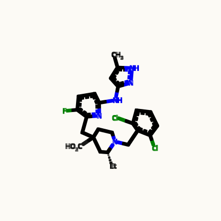 CC[C@@H]1CC(Cc2nc(Nc3cc(C)[nH]n3)ccc2F)(C(=O)O)CCN1Cc1c(Cl)cccc1Cl